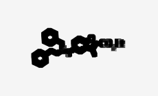 CCOC(=O)c1oc2ccc(SN(CCc3ccccc3)Cc3ccccc3)cc2c1C